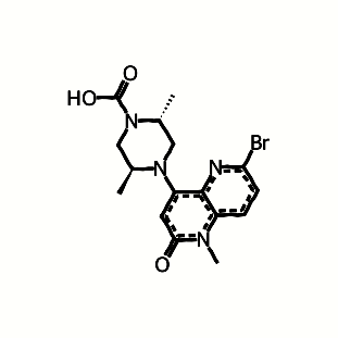 C[C@@H]1CN(c2cc(=O)n(C)c3ccc(Br)nc23)[C@@H](C)CN1C(=O)O